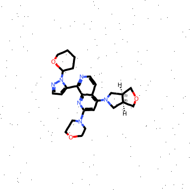 c1cc2c(N3C[C@H]4COC[C@H]4C3)cc(N3CCOCC3)nc2c(-c2ccnn2C2CCCCO2)n1